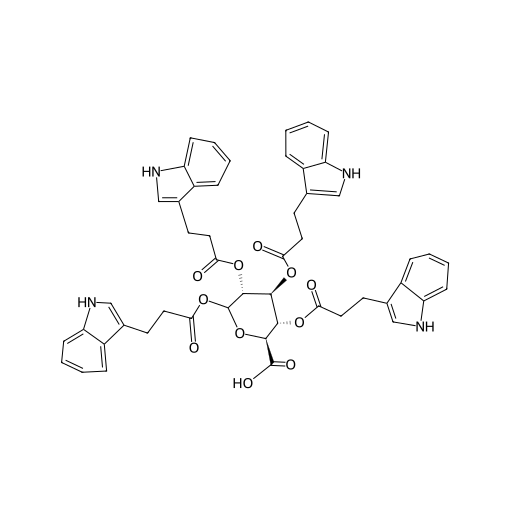 O=C(CCc1c[nH]c2ccccc12)OC1O[C@H](C(=O)O)[C@@H](OC(=O)CCc2c[nH]c3ccccc23)[C@H](OC(=O)CCc2c[nH]c3ccccc23)[C@H]1OC(=O)CCc1c[nH]c2ccccc12